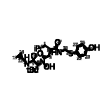 CC(C)C[C@H](CC(=O)N(O)[C@H](C(=O)NC1CC1)C(C)(C)C)C(=O)NCSc1ccc(O)cc1